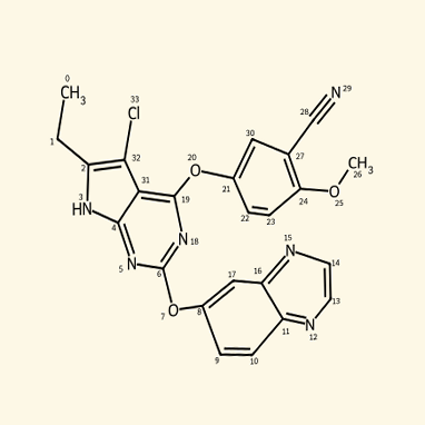 CCc1[nH]c2nc(Oc3ccc4nccnc4c3)nc(Oc3ccc(OC)c(C#N)c3)c2c1Cl